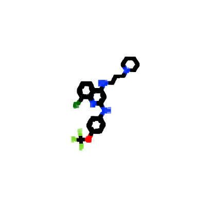 FC(F)(F)Oc1ccc(Nc2cc(NCCCN3CCCCC3)c3cccc(Cl)c3n2)cc1